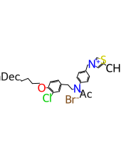 CCCCCCCCCCCCCCOc1ccc(CCN(C(C)=O)c2ccc(C[n+]3csc(C)c3)cc2)cc1Cl.[Br-]